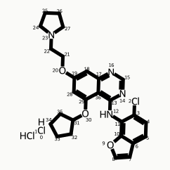 Cl.Cl.Clc1ccc2ccoc2c1Nc1ncnc2cc(OCCN3CCCC3)cc(OC3CCCC3)c12